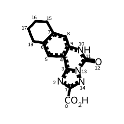 O=C(O)c1nc2c3cc4c(cc3[nH]c(=O)n2n1)CCCC4